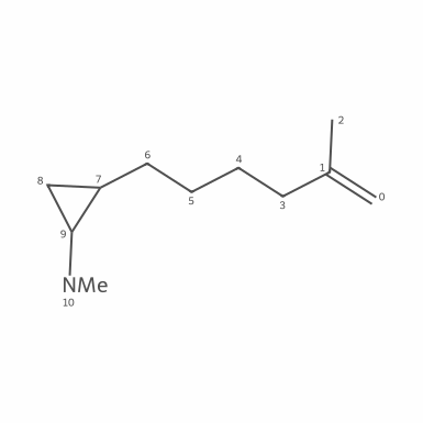 C=C(C)CCCCC1CC1NC